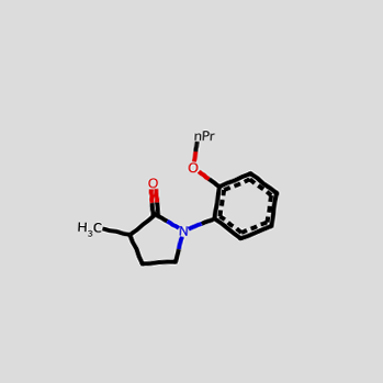 CCCOc1ccccc1N1CCC(C)C1=O